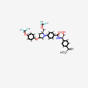 CCC(C(=O)O)c1ccc([C@H](CO)NC(=O)c2ccc(N3CC(Oc4ccc(OC(F)F)cc4)C[C@H]3COC(F)F)cc2)cc1